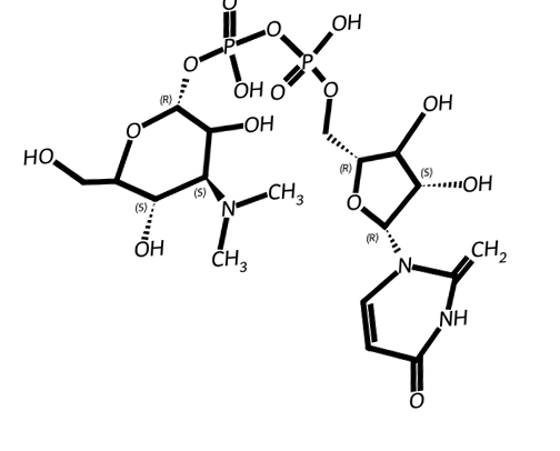 C=C1NC(=O)C=CN1[C@@H]1O[C@H](COP(=O)(O)OP(=O)(O)O[C@H]2OC(CO)[C@@H](O)[C@H](N(C)C)C2O)C(O)[C@@H]1O